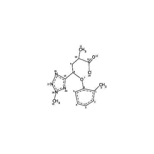 Cc1ccccc1OC(CC(C)C(=O)Cl)c1nnn(C)n1